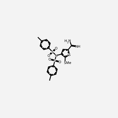 CSc1sc(C(=N)N)cc1N(S(=O)(=O)c1ccc(C)cc1)S(=O)(=O)c1ccc(C)cc1